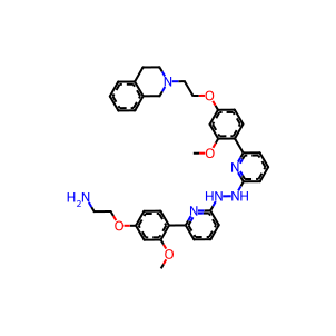 COc1cc(OCCN)ccc1-c1cccc(NNc2cccc(-c3ccc(OCCN4CCc5ccccc5C4)cc3OC)n2)n1